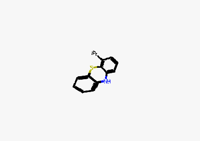 CC(C)c1cccc2c1Sc1ccccc1N2